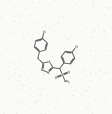 NS(=O)(=O)C(c1ccc(Cl)cc1)c1nnc(Cc2ccc(Cl)cc2)s1